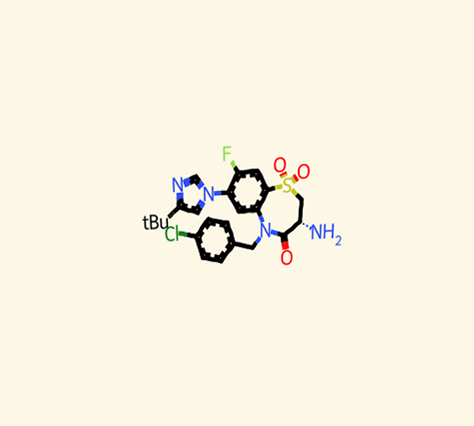 CC(C)(C)c1cn(-c2cc3c(cc2F)S(=O)(=O)C[C@H](N)C(=O)N3Cc2ccc(Cl)cc2)cn1